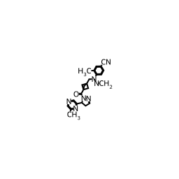 C=NN(CC12CC(C(=O)N3N=CCC3c3cncc(C)n3)(C1)C2)c1ccc(C#N)cc1C